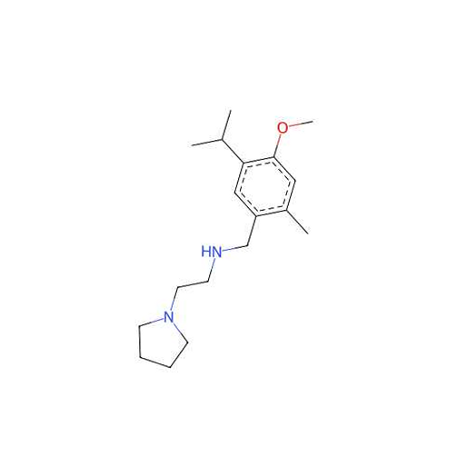 COc1cc(C)c(CNCCN2CCCC2)cc1C(C)C